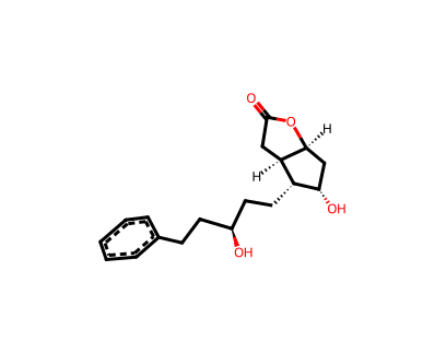 O=C1C[C@@H]2[C@@H](CC[C@@H](O)CCc3ccccc3)[C@@H](O)C[C@@H]2O1